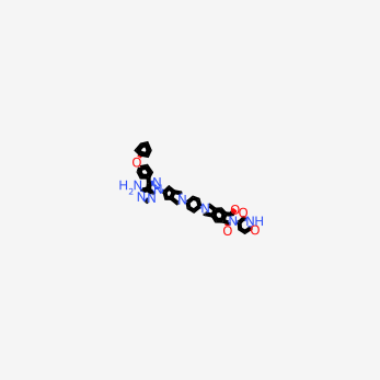 Nc1ncnc2c1c(-c1ccc(Oc3ccccc3)cc1)nn2C1CC2CN(C3CCC(N4Cc5cc6c(cc5C4)C(=O)N(C4CCC(=O)NC4=O)C6=O)CC3)CC2C1